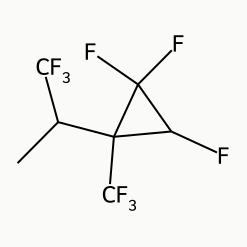 CC(C(F)(F)F)C1(C(F)(F)F)C(F)C1(F)F